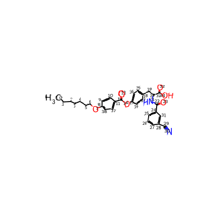 CCCCCCCOc1ccc(C(=O)Oc2ccc(C[C@H](NC(=O)c3cccc(C#N)c3)C(=O)O)cc2)cc1